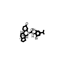 CC(C)c1cc(Br)c(NC(=O)N2C[C@H]3[C@@H]4CCC[C@@]4(C)CC[C@@H]3[C@@]3(C)CCC(=O)C=C23)c(Br)c1